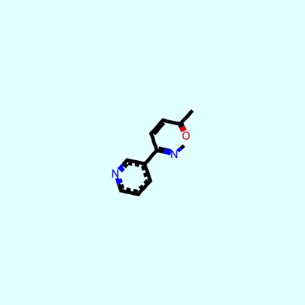 C/N=C(\C=C/C(C)=O)c1cccnc1